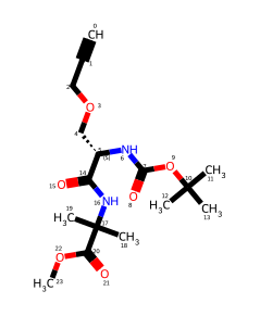 C#CCOC[C@H](NC(=O)OC(C)(C)C)C(=O)NC(C)(C)C(=O)OC